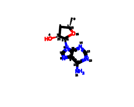 C[C@H]1C[C@@H](O)[C@H](n2cnc3c(N)ncnc32)O1